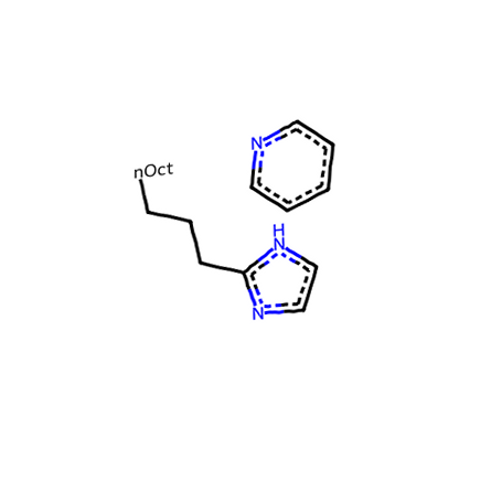 CCCCCCCCCCCc1ncc[nH]1.c1ccncc1